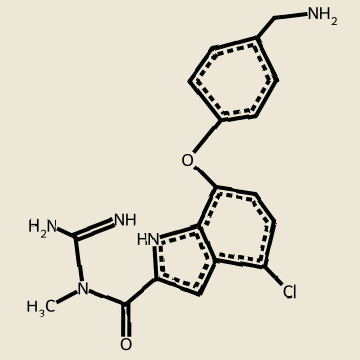 CN(C(=N)N)C(=O)c1cc2c(Cl)ccc(Oc3ccc(CN)cc3)c2[nH]1